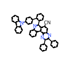 N#Cc1cc2nc(-c3ccccc3)c(-c3ccccc3)nc2c2c1c(-c1ccccc1-c1ccc(-n3c4ccccc4c4ccccc43)cc1)nc1ccccc12